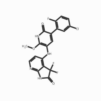 COc1[nH]c(=O)c(-c2cc(Cl)ccc2F)cc1Nc1ccnc2c1C(F)(F)C(=O)N2